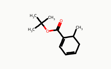 CC1CC=CC=C1C(=O)OC(C)(C)C